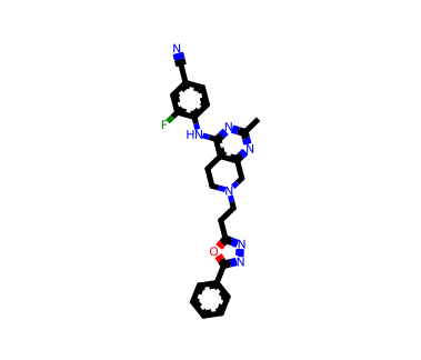 Cc1nc2c(c(Nc3ccc(C#N)cc3F)n1)CCN(CCc1nnc(-c3ccccc3)o1)C2